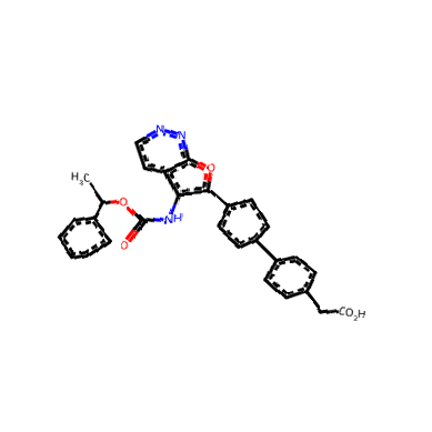 CC(OC(=O)Nc1c(-c2ccc(-c3ccc(CC(=O)O)cc3)cc2)oc2nnccc12)c1ccccc1